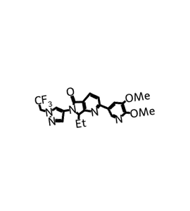 CCC1c2nc(-c3cnc(OC)c(OC)c3)ccc2C(=O)N1c1cnn(CC(F)(F)F)c1